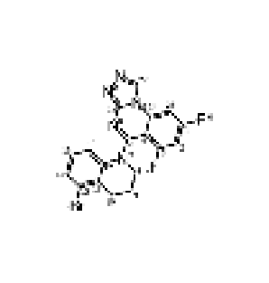 Fc1cc(F)c2c(N3CCCc4c(Br)cccc43)nc3nncn3c2c1